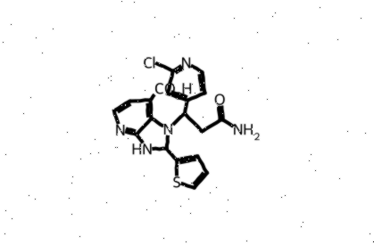 NC(=O)CC(c1ccnc(Cl)c1)N1c2c(C(=O)O)ccnc2NC1c1cccs1